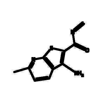 C=NC(=O)c1sc2nc(C)ccc2c1N